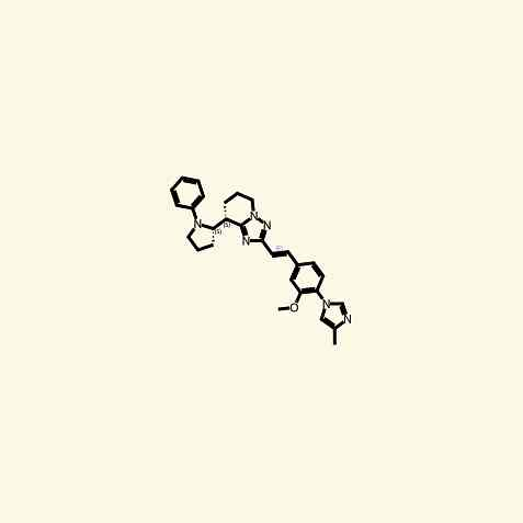 COc1cc(/C=C/c2nc3n(n2)CCC[C@H]3[C@@H]2CCCN2c2ccccc2)ccc1-n1cnc(C)c1